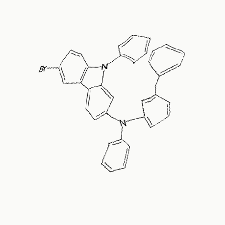 Brc1ccc2c(c1)c1ccc(N(c3ccccc3)c3cccc(-c4ccccc4)c3)cc1n2-c1ccccc1